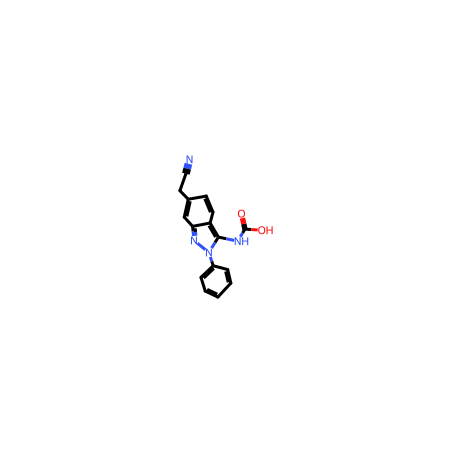 N#CCc1ccc2c(NC(=O)O)n(-c3ccccc3)nc2c1